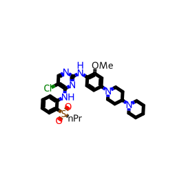 CCCS(=O)(=O)c1ccccc1Nc1nc(Nc2ccc(N3CCC(N4CCCCC4)CC3)cc2OC)ncc1Cl